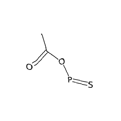 CC(=O)OP=S